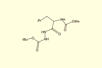 COC(=O)NC(CC(C)C)C(=O)NNC(=O)OC(C)(C)C